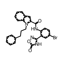 O=C(Nc1ccc(Br)cc1-c1noc(=O)[nH]1)c1cc2ccccc2n1CCCc1ccccc1